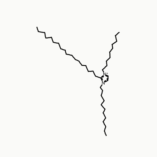 CCCCCCCCCCCCCCCCCCc1n(CCCCCCCCCCCC)cc[n+]1CCCCCCCCCC